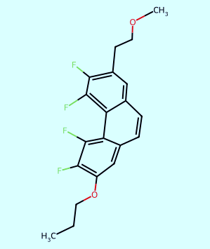 CCCOc1cc2ccc3cc(CCOC)c(F)c(F)c3c2c(F)c1F